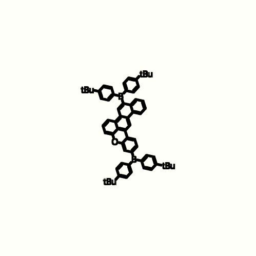 CC(C)(C)c1ccc(B(c2ccc(C(C)(C)C)cc2)c2ccc3c(c2)Oc2cccc4c2c-3cc2c3ccccc3c(B(c3ccc(C(C)(C)C)cc3)c3ccc(C(C)(C)C)cc3)cc42)cc1